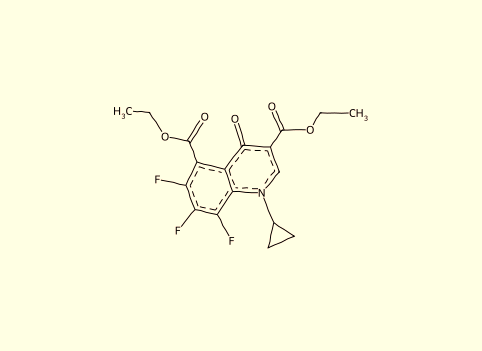 CCOC(=O)c1cn(C2CC2)c2c(F)c(F)c(F)c(C(=O)OCC)c2c1=O